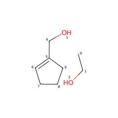 CCO.OCC1=CCCC1